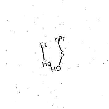 CCCSO.C[CH2][Hg]